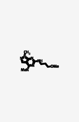 CNc1nc(NCCCOC)nc2c1cnn2C